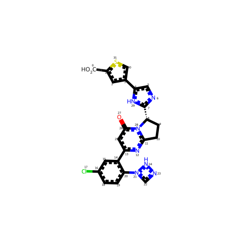 O=C(O)c1cc(-c2cnc([C@@H]3CCc4nc(-c5cc(Cl)ccc5-n5cn[nH]5)cc(=O)n43)[nH]2)cs1